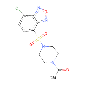 CC(C)(C)C(=O)N1CCN(S(=O)(=O)c2ccc(Cl)c3nonc23)CC1